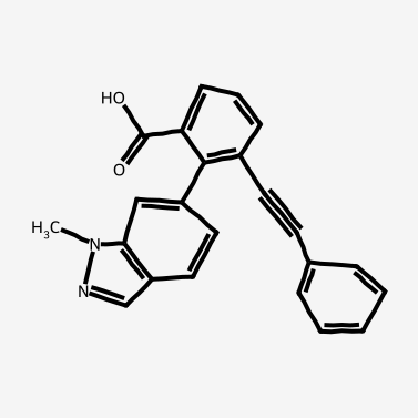 Cn1ncc2ccc(-c3c(C#Cc4ccccc4)cccc3C(=O)O)cc21